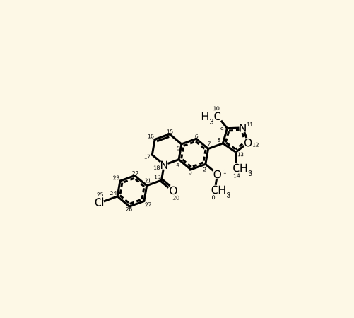 COc1cc2c(cc1-c1c(C)noc1C)C=CCN2C(=O)c1ccc(Cl)cc1